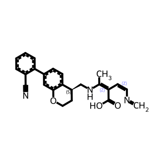 C=N/C=C\C(C(=O)O)=C(/C)NC[C@H]1CCOc2cc(-c3ccccc3C#N)ccc21